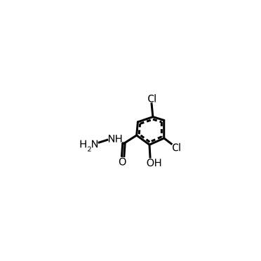 NNC(=O)c1cc(Cl)cc(Cl)c1O